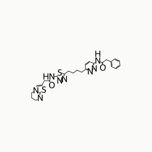 O=C(Cc1ccccc1)Nc1ccc(CCCCc2nnc(NC(=O)CC3=CN4CCCN=C4S3)s2)nn1